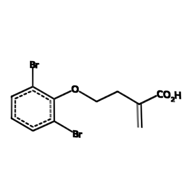 C=C(CCOc1c(Br)cccc1Br)C(=O)O